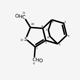 O=CC1=C2C3C=CC(CC3)C2C(C=O)S1